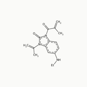 C=C(C)C(=O)n1c(=O)n(C(=C)C)c2cc(NCC)ccc21